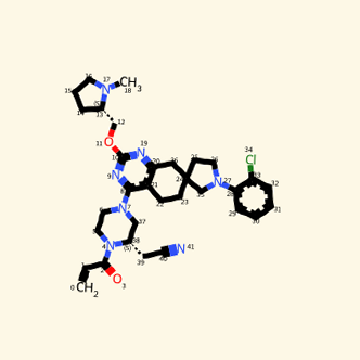 C=CC(=O)N1CCN(c2nc(OC[C@@H]3CCCN3C)nc3c2CCC2(CCN(c4ccccc4Cl)C2)C3)C[C@@H]1CC#N